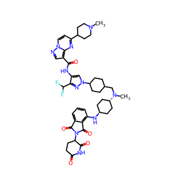 CN1CCC(c2ccn3ncc(C(=O)Nc4cn(C5CCC(CN(C)[C@H]6CC[C@H](Nc7cccc8c7C(=O)N(C7CCC(=O)NC7=O)C8=O)CC6)CC5)nc4C(F)F)c3n2)CC1